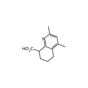 Cc1cc(C)c2c(n1)C(C(=O)O)CCC2